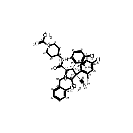 CC(=O)N1CCC(NC(=O)[C@H]2[C@H](c3cccc(Cl)c3F)[C@@](C#N)(c3ccc(Cl)cc3F)C(C)N2Cc2ccccc2C)CC1